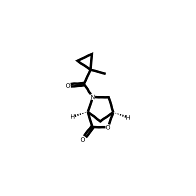 CC1(C(=O)N2C[C@@H]3C[C@H]2C(=O)O3)CC1